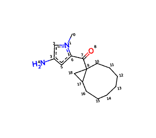 Cn1cc(N)cc1C(=O)C12CCCCCCCC1C2